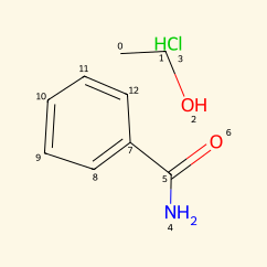 CCO.Cl.NC(=O)c1ccccc1